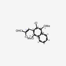 COc1c(Cl)c(/C=C(\Cl)C=O)c(OC)c2ccccc12